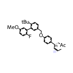 C/C=C\[C@@H](CC(C)=O)c1ccc(OCc2ccc(C(C)(C)C)c(-c3cc(OC)ccc3F)c2)cc1